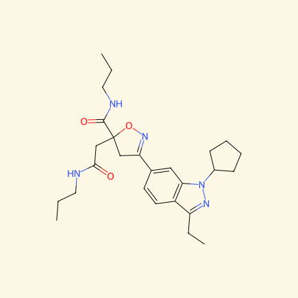 CCCNC(=O)CC1(C(=O)NCCC)CC(c2ccc3c(CC)nn(C4CCCC4)c3c2)=NO1